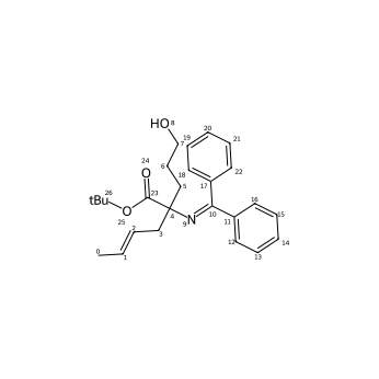 C/C=C/CC(CCCO)(N=C(c1ccccc1)c1ccccc1)C(=O)OC(C)(C)C